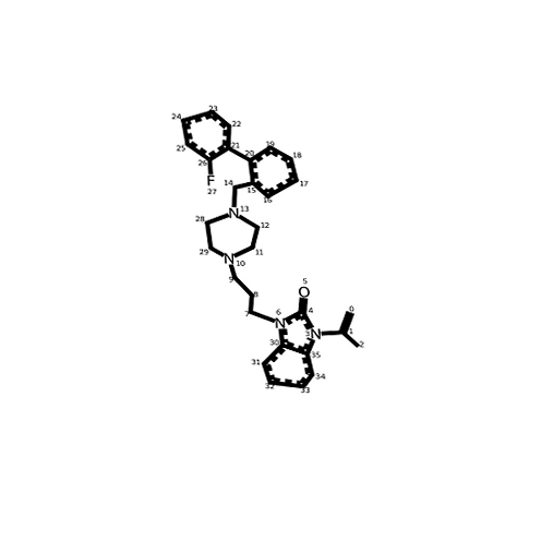 C=C(C)n1c(=O)n(CCCN2CCN(Cc3ccccc3-c3ccccc3F)CC2)c2ccccc21